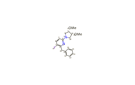 CO[C@H]1CN(c2ccc(I)c(Cc3ccccc3)n2)C[C@H]1OC